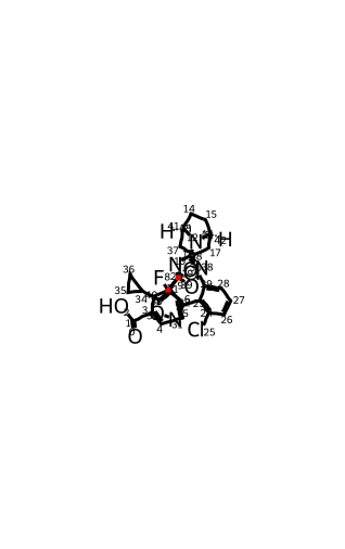 O=C(O)C1=CC=CC(F)(c2nc(N3[C@@H]4CC[C@H]3CC(OCc3c(-c5c(Cl)cccc5Cl)noc3C3CC3)C4)no2)C1